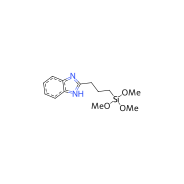 CO[Si](CCCc1nc2ccccc2[nH]1)(OC)OC